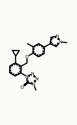 Cc1cc(-c2cnn(C)c2)ccc1OCc1c(C2CC2)cccc1-n1nnn(C)c1=O